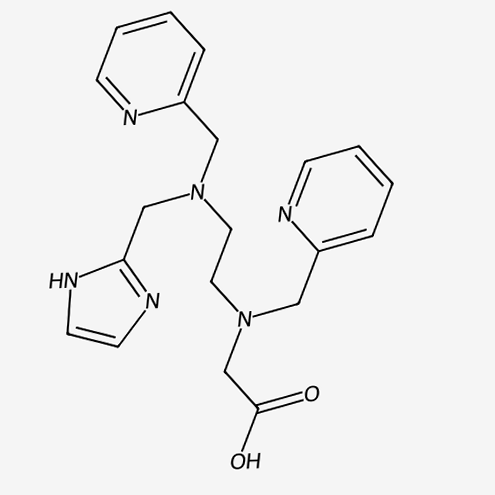 O=C(O)CN(CCN(Cc1ccccn1)Cc1ncc[nH]1)Cc1ccccn1